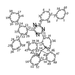 c1ccc(-c2cccc(-c3nc(-c4cc(-c5ccccc5)cc(-c5ccccc5)c4)nc(-c4cccc5c4-c4ccccc4C54c5ccccc5-c5ccccc54)n3)c2)cc1